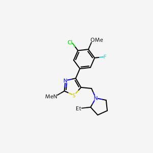 CCC1CCCN1Cc1sc(NC)nc1-c1cc(F)c(OC)c(Cl)c1